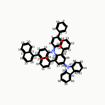 c1ccc(-c2ccc(N(c3ccc(-c4cccc5ccccc45)cc3)c3c(-c4ccccc4)cc(-n4c5ccccc5c5ccccc54)cc3-c3ccccc3)cc2)cc1